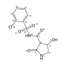 O=C1NCC(O)C1C(=O)NS(=O)(=O)c1ccccc1Cl